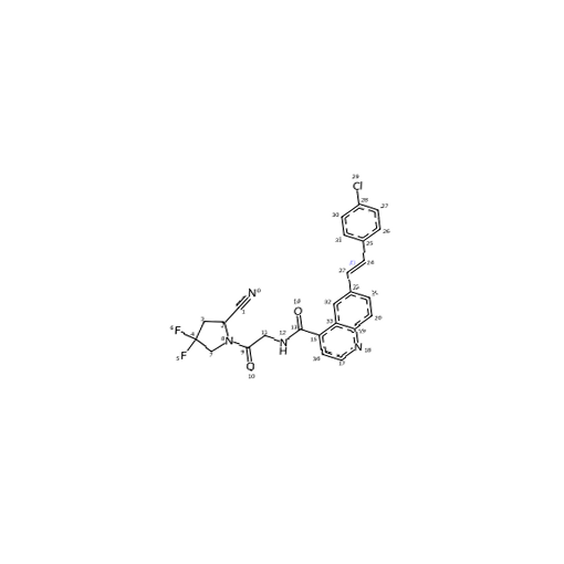 N#CC1CC(F)(F)CN1C(=O)CNC(=O)c1ccnc2ccc(/C=C/c3ccc(Cl)cc3)cc12